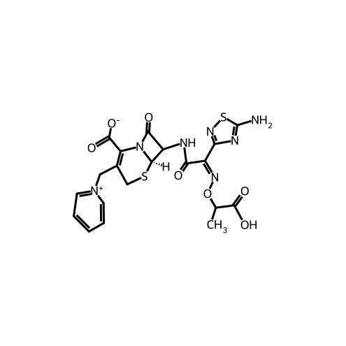 CC(O/N=C(\C(=O)NC1C(=O)N2C(C(=O)[O-])=C(C[n+]3ccccc3)CS[C@H]12)c1nsc(N)n1)C(=O)O